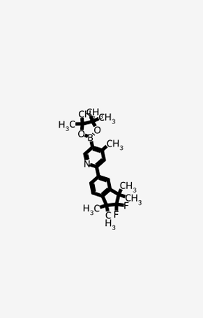 Cc1cc(-c2ccc3c(c2)C(C)(C)C(F)(F)C3(C)C)ncc1B1OC(C)(C)C(C)(C)O1